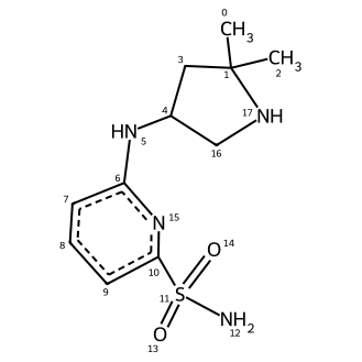 CC1(C)CC(Nc2cccc(S(N)(=O)=O)n2)CN1